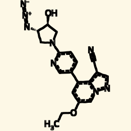 CCOc1cc(-c2ccc(N3C[C@H](N=[N+]=[N-])[C@@H](O)C3)nc2)c2c(C#N)cnn2c1